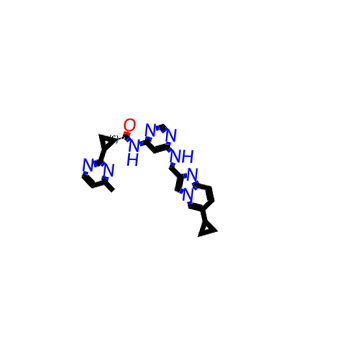 Cc1ccnc(C2C[C@@H]2C(=O)Nc2cc(NCc3cn4cc(C5CC5)ccc4n3)ncn2)n1